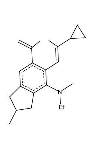 C=C(C)c1cc2c(c(N(C)CC)c1/C=C(\C)C1CC1)CC(C)C2